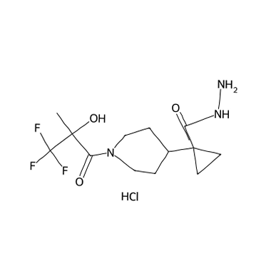 CC(O)(C(=O)N1CCC(C2(C(=O)NN)CC2)CC1)C(F)(F)F.Cl